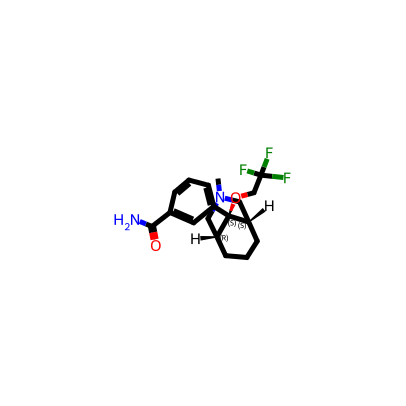 CN1C[C@H]2CCC[C@@H](C1)[C@@]2(OCC(F)(F)F)c1cccc(C(N)=O)c1